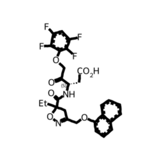 CCC1(C(=O)N[C@@H](CC(=O)O)C(=O)COc2c(F)c(F)cc(F)c2F)CC(COc2cccc3ccccc23)=NO1